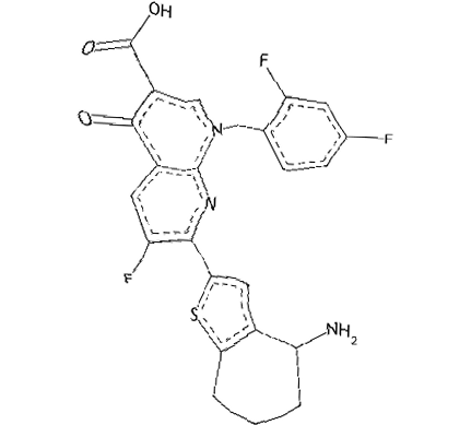 NC1CCCc2sc(-c3nc4c(cc3F)c(=O)c(C(=O)O)cn4-c3ccc(F)cc3F)cc21